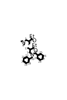 CCC(=O)C(C)CN(C)C.CCC(=O)C(C)CN(Cc1ccccc1)Cc1ccccc1